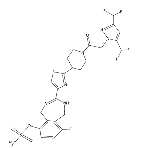 CS(=O)(=O)Oc1ccc(F)c2c1CN=C(c1csc(C3CCN(C(=O)Cn4nc(C(F)F)cc4C(F)F)CC3)n1)NC2